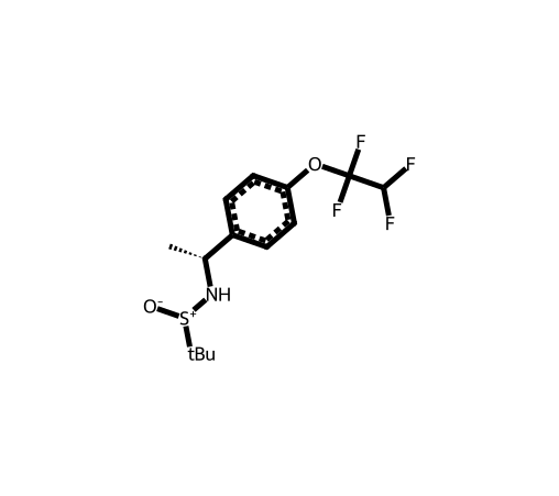 C[C@@H](N[S+]([O-])C(C)(C)C)c1ccc(OC(F)(F)C(F)F)cc1